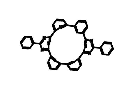 c1ccc(-c2nc3nc(n2)c2cccc(c2)c2cccc(n2)c2nc(-c4ccccc4)nc(n2)c2cccc(c2)c2cccc3c2)cc1